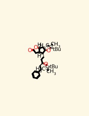 CC(C)(C)[Si](C)(C)O[C@@H](CCc1ccccc1)CC[C@@H]1[C@H]2CC(=O)O[C@H]2C[C@H]1O[Si](C)(C)C(C)(C)C